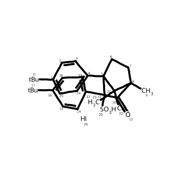 CC(C)(C)c1ccc(C23CCC(C)(C(=O)C2(c2ccc(C(C)(C)C)cc2)S(=O)(=O)O)C3(C)C)cc1.I